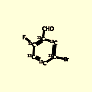 O=C[13c]1[13cH][13c](Br)[13cH][13cH][13c]1F